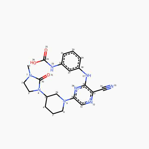 CN1CCN(C2CCCN(c3cnc(C#N)c(Nc4cccc(NC(=O)O)c4)n3)C2)C1=O